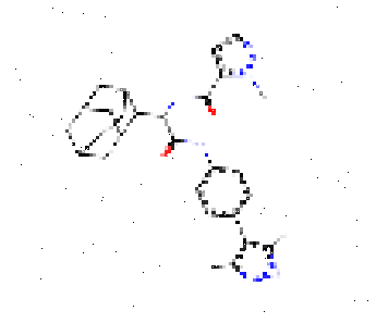 Cc1n[nH]c(C)c1-c1ccc(NC(=O)C(NC(=O)c2ccnn2C(C)C)C2C3CC4CC(C3)CC2C4)cc1